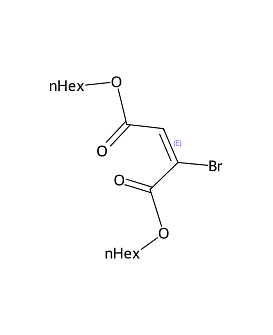 CCCCCCOC(=O)/C=C(/Br)C(=O)OCCCCCC